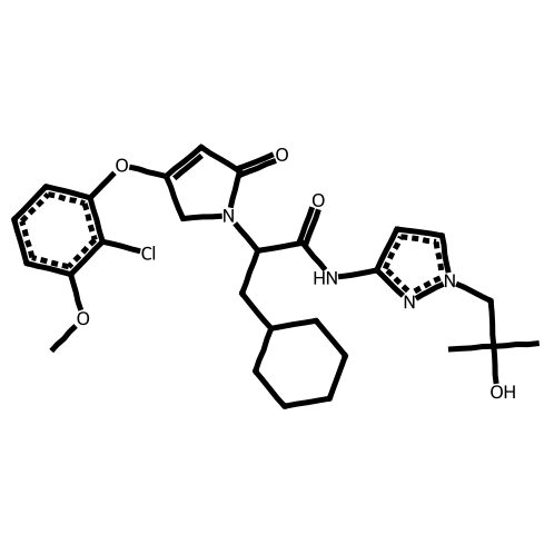 COc1cccc(OC2=CC(=O)N(C(CC3CCCCC3)C(=O)Nc3ccn(CC(C)(C)O)n3)C2)c1Cl